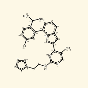 Cc1cnc(NCCn2ccnn2)nc1-c1cc2cccc(-c3cc(Cl)ncc3C(C)N)c2s1